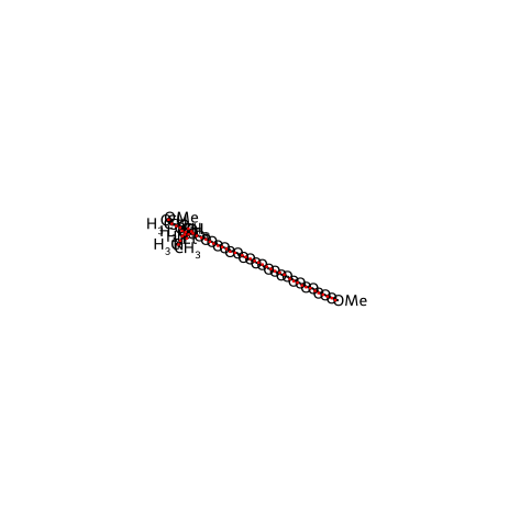 CCC(CC(C)(CC(C)(C)C(=O)OCCSCC(C)(C)C(=O)OC)C(=O)OCCOCCOCCOCCOCCOCCOCCOCCOCCOCCOCCOCCOCCOCCOCCOCCOCCOCCOCCOCCOCCOCCOCCOC)C(=O)NCCCN(C)C